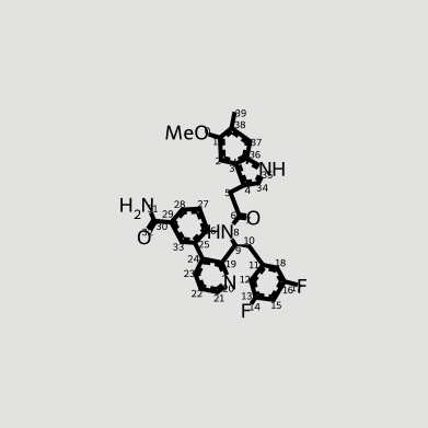 COc1cc2c(CC(=O)N[C@@H](Cc3cc(F)cc(F)c3)c3ncccc3-c3cccc(C(N)=O)c3)c[nH]c2cc1C